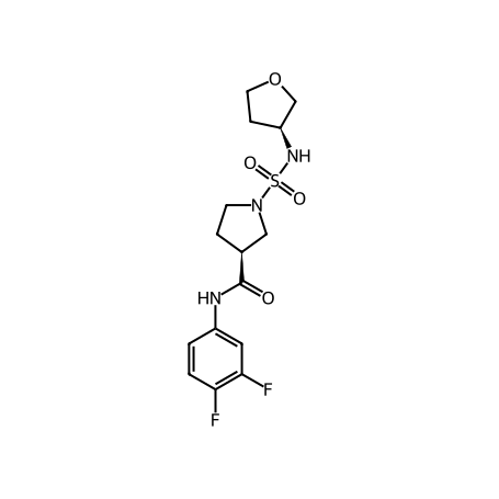 O=C(Nc1ccc(F)c(F)c1)[C@H]1CCN(S(=O)(=O)N[C@H]2CCOC2)C1